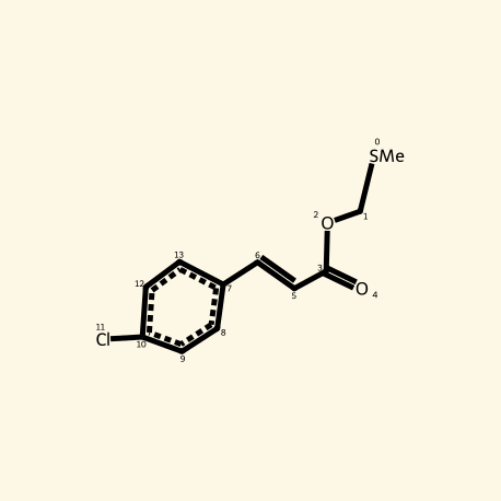 CSCOC(=O)C=Cc1ccc(Cl)cc1